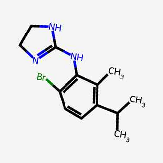 Cc1c(C(C)C)ccc(Br)c1NC1=NCCN1